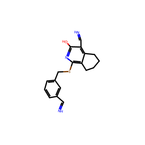 N=Cc1cccc(CSc2nc(O)c(C=N)c3c2CCCC3)c1